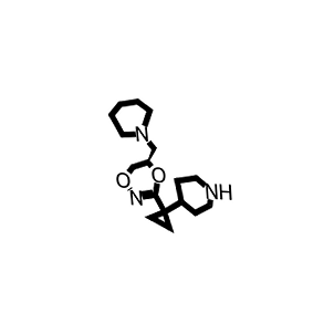 C1CCN(C[C@@H]2CON=C(C3(C4CCNCC4)CC3)O2)CC1